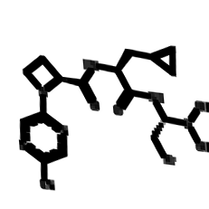 CC(C)C[C@H](NC(=O)[C@H](CC1CC1)NC(=O)[C@@H]1CCN1c1cnc(C#N)cn1)B(O)O